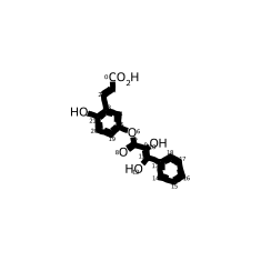 O=C(O)C=Cc1cc(OC(=O)C(O)=C(O)c2ccccc2)ccc1O